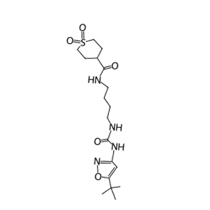 CC(C)(C)c1cc(NC(=O)NCCCCNC(=O)C2CCS(=O)(=O)CC2)no1